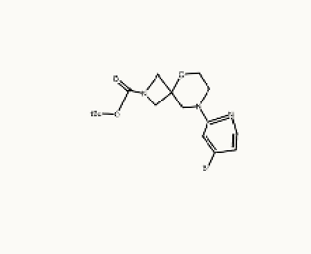 CC(C)(C)OC(=O)N1CC2(C1)CN(c1cc(Br)ccn1)CCO2